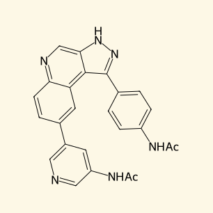 CC(=O)Nc1ccc(-c2n[nH]c3cnc4ccc(-c5cncc(NC(C)=O)c5)cc4c23)cc1